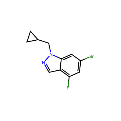 Fc1cc(Br)cc2c1cnn2CC1CC1